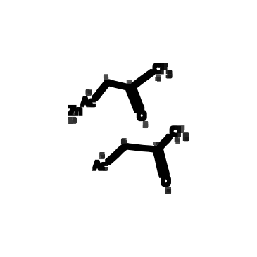 CC(=O)CC(=O)C(F)(F)F.CC(=O)CC(=O)C(F)(F)F.[Zn]